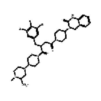 Cc1c(Br)cc(CC(CC(=O)N2CCC(N3Cc4ccccc4NC3=O)CC2)C(=O)N2CCC(N3CCN(C)C(C(=O)O)C3)CC2)cc1Br